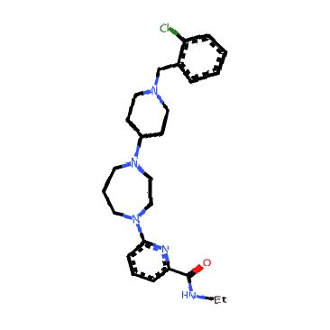 CCNC(=O)c1cccc(N2CCCN(C3CCN(Cc4ccccc4Cl)CC3)CC2)n1